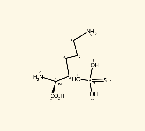 NCCCC[C@H](N)C(=O)O.OP(O)(O)=S